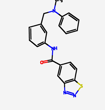 CN(Cc1cccc(NC(=O)c2ccc3snnc3c2)c1)c1ccccc1